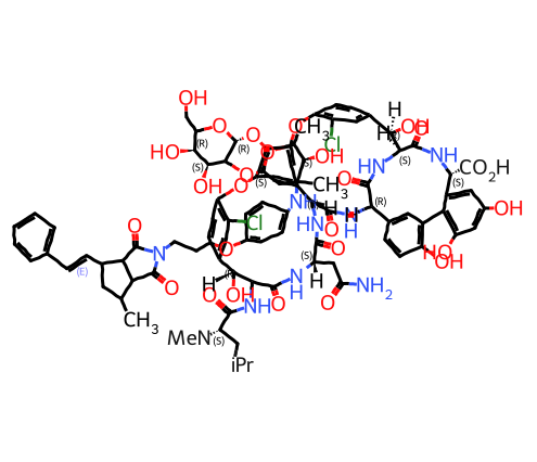 CN[C@@H](CC(C)C)C(=O)NC1C(=O)N[C@@H](CC(N)=O)C(=O)N[C@H]2C(=O)N[C@H]3C(=O)N[C@H](C(=O)N[C@H](C(=O)O)c4cc(O)cc(O)c4-c4cc3ccc4O)[C@H](O)c3ccc(c(Cl)c3)Oc3cc2cc(c3O[C@H]2OC(CO)[C@H](O)[C@H](O)C2O[C@H]2CC(C)(Nc3ccc(OCCCN4C(=O)C5C(C)CC(/C=C/c6ccccc6)C5C4=O)cc3)[C@H](O)C(C)O2)Oc2ccc(cc2Cl)[C@H]1O